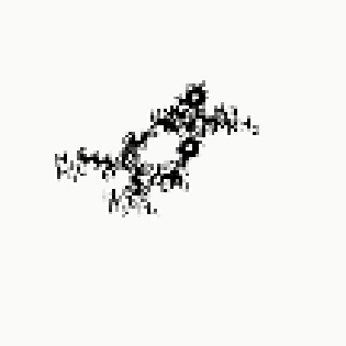 CC(C)CCCC(=O)N1CN(C(=O)CCSCC(=O)N[C@H](Cc2ccccc2)C(=O)N[C@@H](CCCNC(N)=O)C(=O)Nc2ccc(COC(=O)C(C)(C)C)cc2)CN(C(=O)CCC(C)(C)C)C1